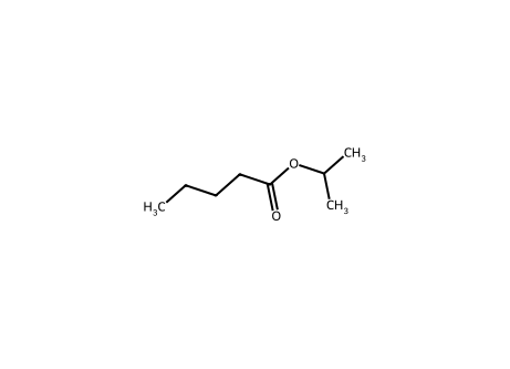 CCCCC(=O)OC(C)C